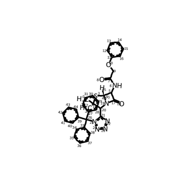 CC1(C)S[C@@H]2C(NC(=O)COc3ccccc3)C(=O)N2C1c1nnnn1C(c1ccccc1)(c1ccccc1)c1ccccc1